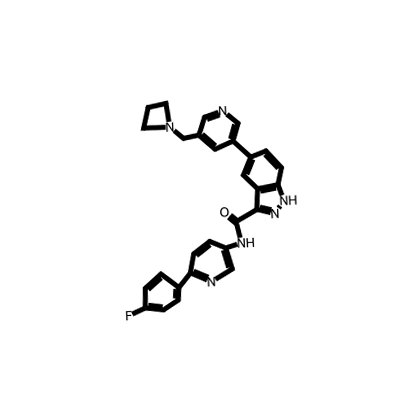 O=C(Nc1ccc(-c2ccc(F)cc2)nc1)c1n[nH]c2ccc(-c3cncc(CN4CCC4)c3)cc12